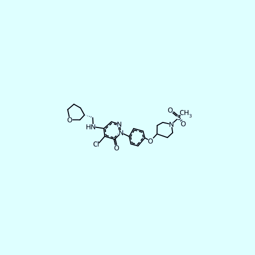 CS(=O)(=O)N1CCC(Oc2ccc(-n3ncc(NC[C@H]4CCCOC4)c(Cl)c3=O)cc2)CC1